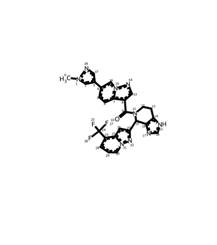 Cn1cc(-c2ccc3c(C(=O)N4CCc5[nH]cnc5C4c4cc5c(C(F)(F)F)cccn5n4)cnn3c2)cn1